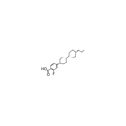 CCC[C@H]1CC[C@H]([C@H]2CC[C@H](c3ccc(C(=O)O)c(F)c3)CC2)CC1